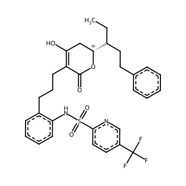 CCC(CCc1ccccc1)[C@H]1CC(O)=C(CCCc2ccccc2NS(=O)(=O)c2ccc(C(F)(F)F)cn2)C(=O)O1